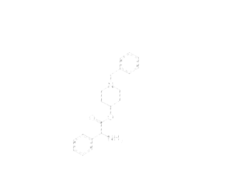 NC(C(=O)OC1CCN(Cc2ccccc2)CC1)c1ccccc1